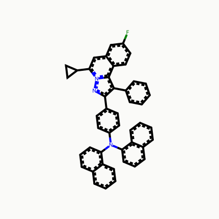 Fc1ccc2c(c1)cc(C1CC1)n1nc(-c3ccc(N(c4cccc5ccccc45)c4cccc5ccccc45)cc3)c(-c3ccccc3)c21